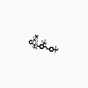 CC(C)(C)OC(=O)N1CCC[C@H]1c1nc(-c2ccc(CCc3ccc(C(F)(F)F)cc3)c(C(F)(F)F)c2)no1